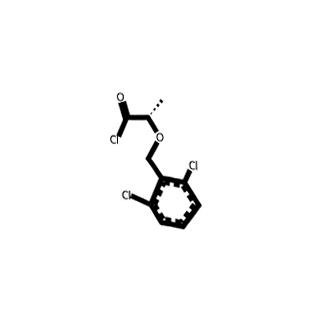 C[C@H](OCc1c(Cl)cccc1Cl)C(=O)Cl